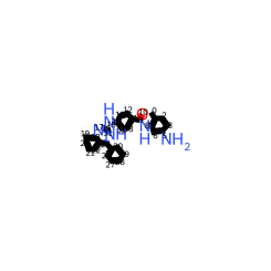 Cc1ccc(N)cc1NC(=O)c1ccc(NC2=Nc3ccccc3C(c3ccccc3)N2)cc1